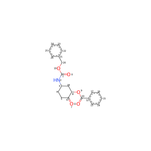 O=C(NC1CCC(=O)C(OC(=O)c2ccccc2)C1)OCc1ccccc1